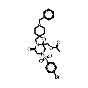 CC(=O)OCC12CN(S(=O)(=O)c3ccc(Br)cc3)CC(=O)N1CC1(CCN(Cc3ccccc3)CC1)O2